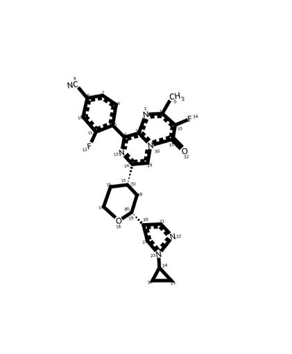 Cc1nc2c(-c3ccc(C#N)cc3F)nc([C@H]3CCO[C@@H](c4cnn(C5CC5)c4)C3)cn2c(=O)c1F